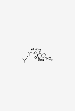 CCCCCCOc1c(OCC=C(C)CCC=C(C)C)c(=O)n(CCCC)c2cc([N+](=O)[O-])ccc12